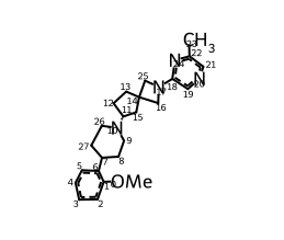 COc1ccccc1C1CCN([C@@H]2CCC3(C2)CN(c2cncc(C)n2)C3)CC1